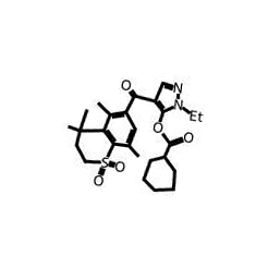 CCn1ncc(C(=O)c2cc(C)c3c(c2C)C(C)(C)CCS3(=O)=O)c1OC(=O)C1CCCCC1